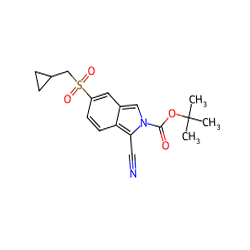 CC(C)(C)OC(=O)n1cc2cc(S(=O)(=O)CC3CC3)ccc2c1C#N